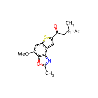 COc1cc2sc(C(=O)C[C@H](C)C(C)=O)cc2c2nc(C)oc12